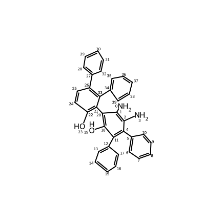 Nc1c(N)c(-c2ccccc2)c(-c2ccccc2)c(O)c1-c1c(O)ccc(-c2ccccc2)c1-c1ccccc1